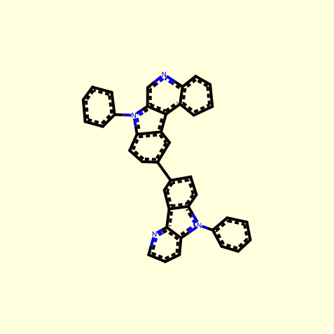 c1ccc(-n2c3ccc(-c4ccc5c(c4)c4c6ccccc6ncc4n5-c4ccccc4)cc3c3ncccc32)cc1